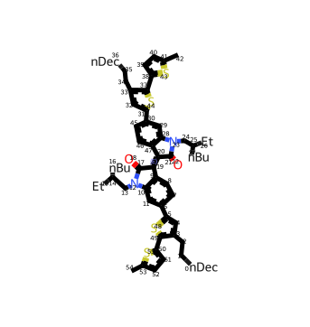 CCCCCCCCCCCCc1cc(-c2ccc3c(c2)N(CC(CC)CCCC)C(=O)/C3=C2/C(=O)N(CC(CC)CCCC)c3cc(-c4cc(CCCCCCCCCCCC)c(-c5ccc(C)s5)s4)ccc32)sc1-c1ccc(C)s1